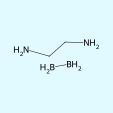 BB.NCCN